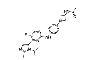 CC(=O)NC1CN(c2ccc(Nc3ncc(F)c(-c4cnc(C)n4C(C)C)n3)cc2)C1